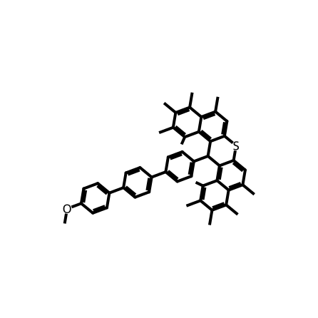 COc1ccc(-c2ccc(-c3ccc(C4c5c(cc(C)c6c(C)c(C)c(C)c(C)c56)Sc5cc(C)c6c(C)c(C)c(C)c(C)c6c54)cc3)cc2)cc1